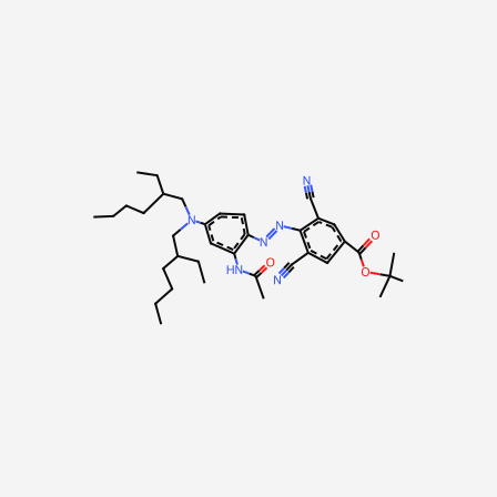 CCCCC(CC)CN(CC(CC)CCCC)c1ccc(N=Nc2c(C#N)cc(C(=O)OC(C)(C)C)cc2C#N)c(NC(C)=O)c1